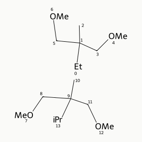 CCC(C)(COC)COC.COCC(C)(COC)C(C)C